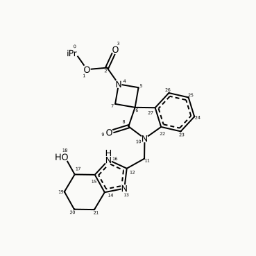 CC(C)OC(=O)N1CC2(C1)C(=O)N(Cc1nc3c([nH]1)C(O)CCC3)c1ccccc12